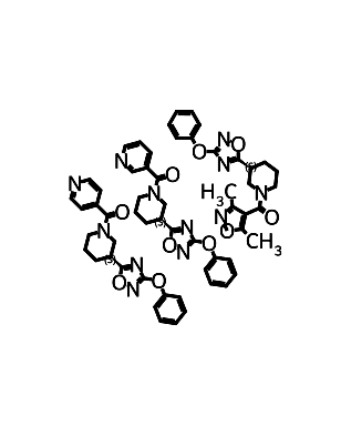 Cc1noc(C)c1C(=O)N1CCC[C@H](c2nc(Oc3ccccc3)no2)C1.O=C(c1cccnc1)N1CCC[C@H](c2nc(Oc3ccccc3)no2)C1.O=C(c1ccncc1)N1CCC[C@H](c2nc(Oc3ccccc3)no2)C1